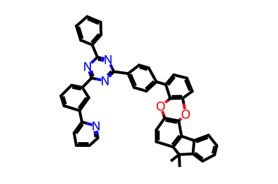 CC1(C)c2ccccc2-c2c1ccc1c2Oc2cccc(-c3ccc(-c4nc(-c5ccccc5)nc(-c5cccc(-c6ccccn6)c5)n4)cc3)c2O1